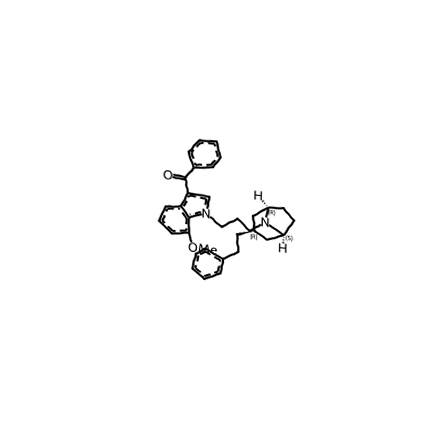 COc1cccc2c(C(=O)c3ccccc3)cn(CCCN3[C@@H]4CC[C@H]3C[C@@H](CCc3ccccc3)C4)c12